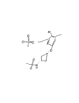 CS(=O)(=O)Cl.Cc1cc(O[C@H]2C[C@@H](NS(C)(=O)=O)C2)cc(C)c1Br